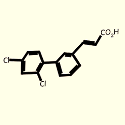 O=C(O)C=Cc1cccc(-c2ccc(Cl)cc2Cl)c1